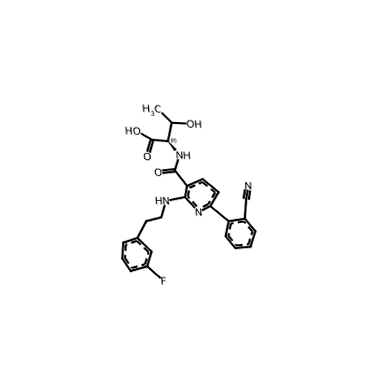 CC(O)[C@@H](NC(=O)c1ccc(-c2ccccc2C#N)nc1NCCc1cccc(F)c1)C(=O)O